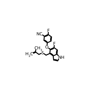 C=C(C)CSCc1c(Oc2ccc(F)c(C#N)c2)c(F)cc2[nH]ccc12